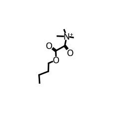 CCCCOC(=O)C(=O)[N+](C)(C)C